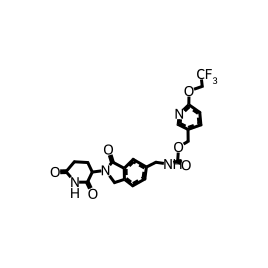 O=C1CCC(N2Cc3ccc(CNC(=O)OCc4ccc(OCC(F)(F)F)nc4)cc3C2=O)C(=O)N1